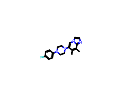 Cc1c(N2CCN(c3ccc(F)cc3)CC2)cn2ccnc2c1C